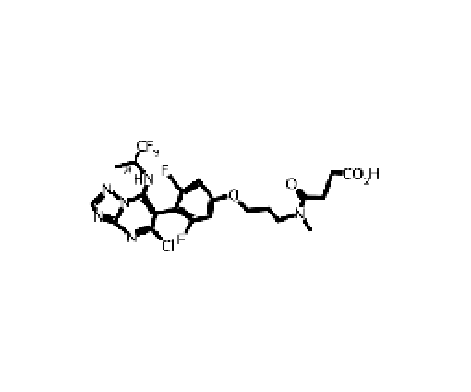 C[C@H](Nc1c(-c2c(F)cc(OCCCN(C)C(=O)CCC(=O)O)cc2F)c(Cl)nc2ncnn12)C(F)(F)F